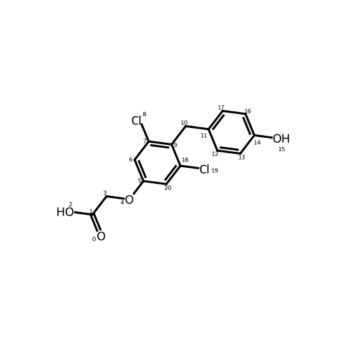 O=C(O)COc1cc(Cl)c(Cc2ccc(O)cc2)c(Cl)c1